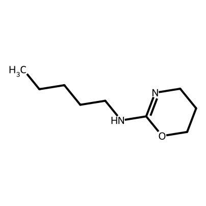 CCCCCNC1=NCCCO1